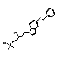 CC(C)(C)[Si](C)(C)OC[C@@H](O)CCn1ccc2cc(OCc3ccccc3)ccc21